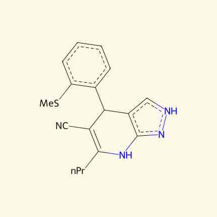 CCCC1=C(C#N)C(c2ccccc2SC)c2c[nH]nc2N1